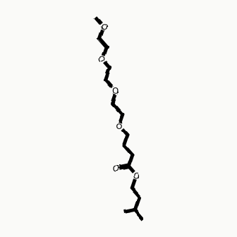 COCCOCCOCCOCCCC(=O)OCCC(C)C